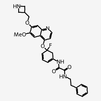 COc1cc2c(OC3(F)C=CC=C(NC(=O)C(=O)NCCc4ccccc4)C3)ccnc2cc1OCC1CNC1